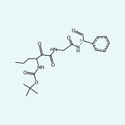 CCCC(NC(=O)OC(C)(C)C)C(=O)C(=O)NCC(=O)N[C@H](C=O)c1ccccc1